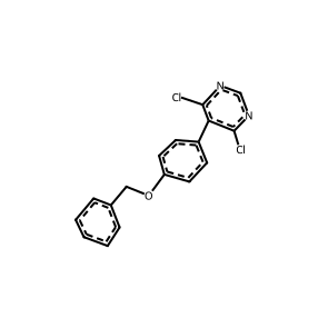 Clc1ncnc(Cl)c1-c1ccc(OCc2ccccc2)cc1